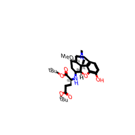 CO[C@@]12CCC(N[C@@H](CCC(=O)OC(C)(C)C)C(=O)OC(C)(C)C)[C@@H]3Oc4c(O)ccc5c4[C@@]31CCN(C)C2C5